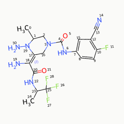 CC1CN(C(=O)Nc2ccc(F)c(C#N)c2)C/C(=C(/N)C(=O)NC(C)C(F)(F)F)N1N